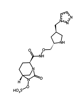 O=C(NOC[C@@H]1C[C@@H](Cn2ccnn2)CN1)[C@@H]1CC[C@@H]2CN1C(=O)N2OS(=O)(=O)O